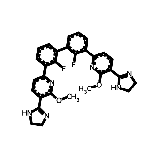 COc1nc(-c2cccc(-c3cccc(-c4ccc(C5=NCCN5)c(OC)n4)c3F)c2F)ccc1C1=NCCN1